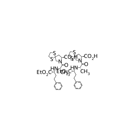 CCOC(=O)[C@H](CCc1ccccc1)N[C@@H](C)C(=O)N1CC2(C[C@H]1C(=O)O)SCCS2.CCOC(=O)[C@H](CCc1ccccc1)N[C@@H](C)C(=O)N1CC2(C[C@H]1C(=O)O)SCCS2